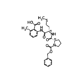 CSCC[C@H](NC(=O)[C@@H]1CCCN1C(=O)OCc1ccccc1)C(=O)Nc1cccc(C)c1C(=O)O